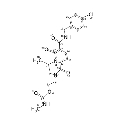 CNC(=O)OCCN1CC(C)n2c(ccc(C(=O)NCc3ccc(Cl)cc3)c2=O)C1=O